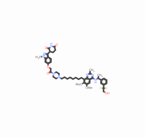 COc1cc2c(NC(C)c3cccc(C(F)(F)CO)c3)nc(C)nc2c(CCCCCCCCN2CCN(C(=O)COc3ccc4c(C5CCC(=O)NC5=O)nn(C)c4c3)CC2)c1OC